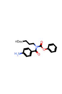 CCCCCCCCCCCCCN(C(=O)Oc1ccccc1)C(=O)c1ccc(N)cc1